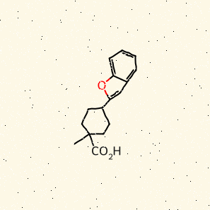 CC1(C(=O)O)CCC(c2cc3ccccc3o2)CC1